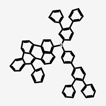 c1ccc(-c2ccc(-c3ccc(N(c4ccc(-c5cccc6c5c(-c5ccccc5)c(-c5ccccc5)c5ccccc56)cc4)c4ccc(-c5ccccc5)c(-c5ccccc5)c4)cc3)cc2-c2ccccc2)cc1